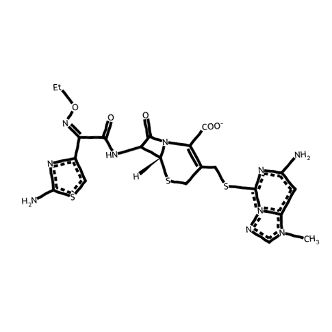 CCO/N=C(\C(=O)NC1C(=O)N2C(C(=O)[O-])=C(CSc3nc(N)cc4n(C)cn[n+]34)CS[C@H]12)c1csc(N)n1